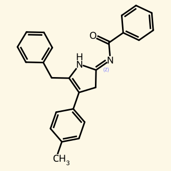 Cc1ccc(C2=C(Cc3ccccc3)N/C(=N\C(=O)c3ccccc3)C2)cc1